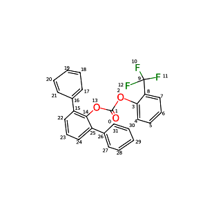 O=C(Oc1ccccc1C(F)(F)F)Oc1c(-c2ccccc2)cccc1-c1ccccc1